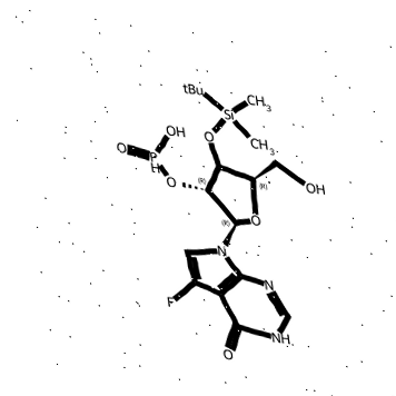 CC(C)(C)[Si](C)(C)OC1[C@@H](O[PH](=O)O)[C@H](n2cc(F)c3c(=O)[nH]cnc32)O[C@@H]1CO